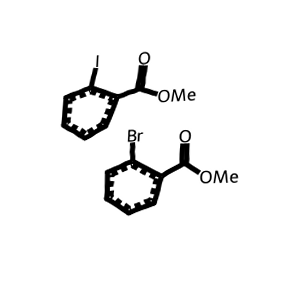 COC(=O)c1ccccc1Br.COC(=O)c1ccccc1I